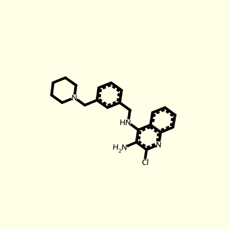 Nc1c(Cl)nc2ccccc2c1NCc1cccc(CN2CCCCC2)c1